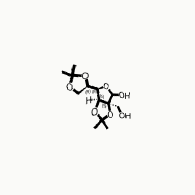 CC1(C)OC[C@H]([C@H]2OC(O)[C@@]3(CO)OC(C)(C)O[C@@H]23)O1